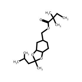 CCC(C)(C)C(=O)OCC1CCC2OC(C)(CC(C)C)OC2C1